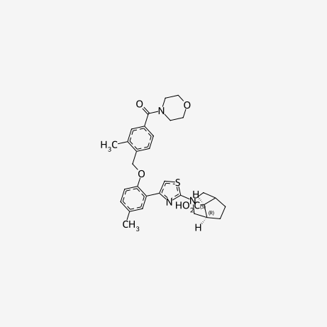 Cc1ccc(OCc2ccc(C(=O)N3CCOCC3)cc2C)c(-c2csc(N3CC4CC[C@@H](C3)[C@H]4C(=O)O)n2)c1